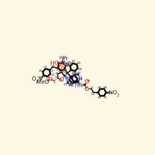 COOC[C@@H]1C[C@@H](O[PH](O)(CCc2ccc([N+](=O)[O-])cc2)N(C(C)C)C(C)C)[C@@](n2cnc3c(NC(=O)OCCc4ccc([N+](=O)[O-])cc4)ncnc32)(C(c2ccccc2)(c2ccccc2)c2ccccc2)O1